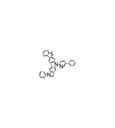 c1ccc(-c2ccc(-n3c4cc5ccn(-c6ccccc6)c5cc4c4cc5c(cc43)sc3ccccc35)nc2)cc1